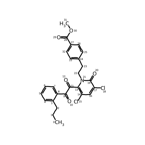 CCCc1ccccc1C(=O)C(=O)c1c(Cl)cc(Cl)c(=O)n1CCc1ccc(C(=O)OC)cc1